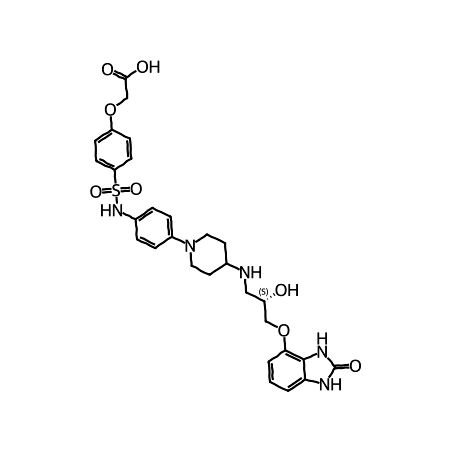 O=C(O)COc1ccc(S(=O)(=O)Nc2ccc(N3CCC(NC[C@H](O)COc4cccc5[nH]c(=O)[nH]c45)CC3)cc2)cc1